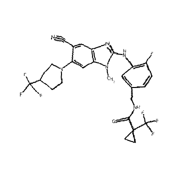 Cn1c(Nc2cc(CNC(=O)C3(C(F)(F)F)CC3)ccc2F)nc2cc(C#N)c(N3CCC(C(F)(F)F)CC3)cc21